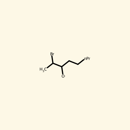 CCCCCC([O])C(C)Br